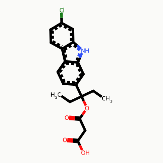 CCC(CC)(OC(=O)CC(=O)O)c1ccc2c(c1)[nH]c1cc(Cl)ccc12